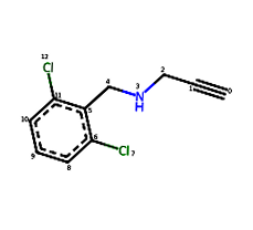 C#CCNCc1c(Cl)cccc1Cl